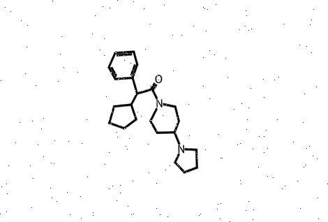 O=C(C(c1ccccc1)C1CCCC1)N1CCC(N2CCCC2)CC1